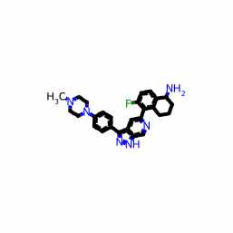 CN1CCN(c2ccc(-c3n[nH]c4cnc(-c5c(F)ccc6c5CCCC6N)cc34)cc2)CC1